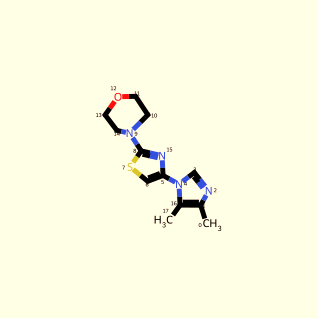 Cc1ncn(-c2csc(N3CCOCC3)n2)c1C